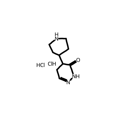 Cl.Cl.O=C1NN=CCC1C1CCNCC1